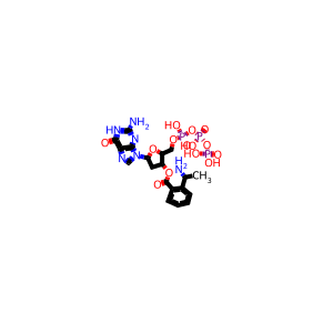 CC(N)c1ccccc1C(=O)OC1CC(n2cnc3c(=O)[nH]c(N)nc32)OC1COP(=O)(O)OP(=O)(O)OP(=O)(O)O